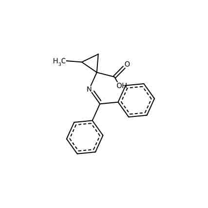 CC1CC1(N=C(c1ccccc1)c1ccccc1)C(=O)O